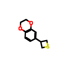 c1cc2c(cc1C1CSC1)OCCO2